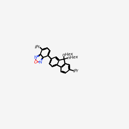 CCCCCCC1(CCCCCC)c2cc(-c3ccc(C(C)C)c4nonc34)ccc2-c2ccc(C(C)C)cc21